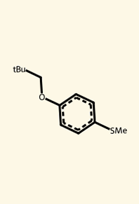 CSc1ccc(OCC(C)(C)C)cc1